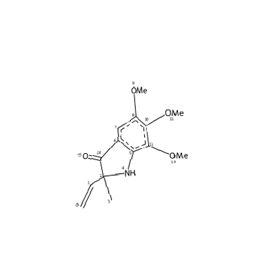 C=CC1(C)Nc2c(cc(OC)c(OC)c2OC)C1=O